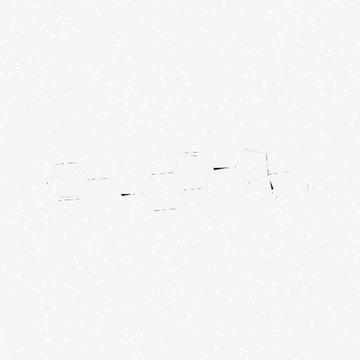 N[C@]1(CO)CC[C@H](c2ccc3c(c2)CC[C@@H](CCc2ccccc2)C3)C1